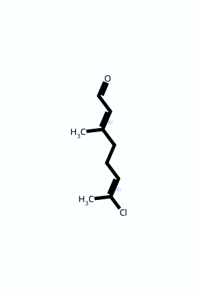 C/C(Cl)=C\CC/C(C)=C/C=O